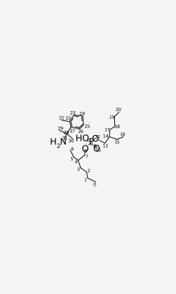 CCCCC(CC)COP(=O)(O)OCC(CC)CCCC.Cc1ccccc1C(C)(C)N